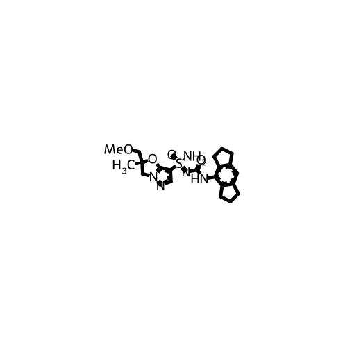 COC[C@@]1(C)Cn2ncc([S@@](N)(=O)=NC(=O)Nc3c4c(cc5c3CCC5)CCC4)c2O1